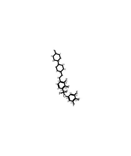 CC1CCC(C2CCC(CCc3ccc(C(F)(F)Oc4cc(F)c(F)c(F)c4)c(F)c3F)CC2)CC1